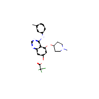 Cc1cccc(Nc2ncnc3cc(OC(=O)C(F)(F)F)cc(OC4CCN(C)CC4)c23)c1